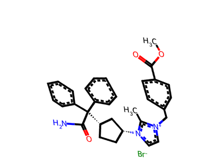 COC(=O)c1ccc(C[n+]2ccn([C@@H]3CC[C@H](C(C(N)=O)(c4ccccc4)c4ccccc4)C3)c2C)cc1.[Br-]